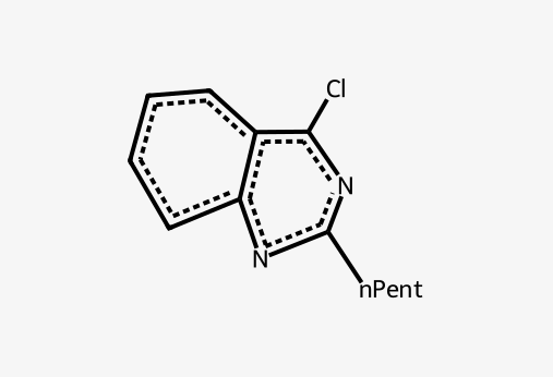 CCCCCc1nc(Cl)c2ccccc2n1